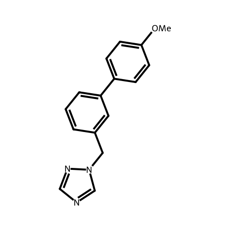 COc1ccc(-c2cccc(Cn3cncn3)c2)cc1